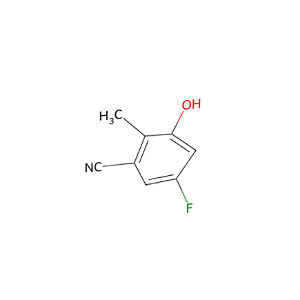 Cc1c(O)cc(F)cc1C#N